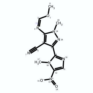 CO/C=N\c1c(C#N)c(-c2ncc([N+](=O)[O-])n2C)nn1C